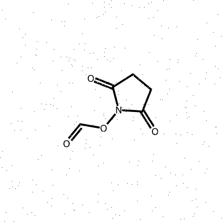 O=CON1C(=O)CCC1=O